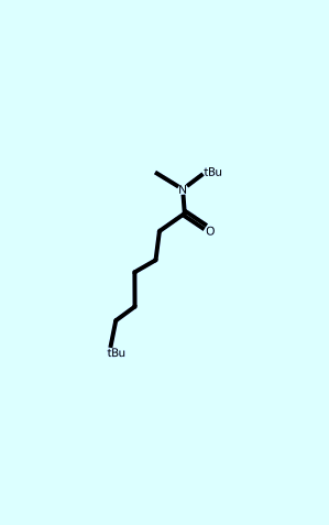 CN(C(=O)CCCCCC(C)(C)C)C(C)(C)C